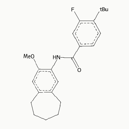 COc1cc2c(cc1NC(=O)c1ccc(C(C)(C)C)c(F)c1)CCCCC2